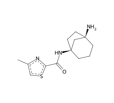 Cc1csc(C(=O)N[C@@]23CCC[C@@](N)(CC2)C3)n1